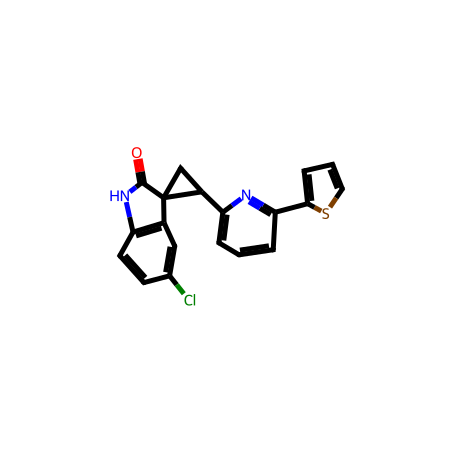 O=C1Nc2ccc(Cl)cc2C12CC2c1cccc(-c2cccs2)n1